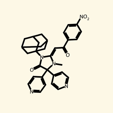 CN1C(=CC(=O)c2ccc([N+](=O)[O-])cc2)N(C23CC4CC(CC(C4)C2)C3)C(=O)C1(c1ccncc1)c1ccncc1